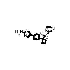 Nc1ncc(-c2ccc(C3(C(=O)Nc4cnccn4)CCC3)cc2)cn1